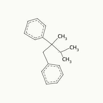 C[C](C)C(C)(Cc1ccccc1)c1ccccc1